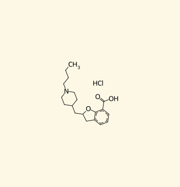 CCCCN1CCC(CC2Cc3cccc(C(=O)O)c3O2)CC1.Cl